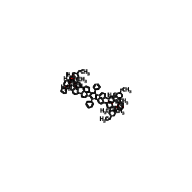 CCC1CCC2(C)N(c3ccccc3)c3ccc(-c4ccc5c6c(-c7ccccc7)c7c8ccc(-c9ccc%10c(c9)C9(C)CC(CC)CCC9(C)N%10c9ccccc9)c9c(-c%10ccc%11c(c%10)C%10(C)CC(CC)CCC%10(C)N%11c%10ccccc%10)ccc(c7c(-c7ccccc7)c6c6ccc(-c7ccc%10c(c7)C7(C)CC(CC)CCC7(C)N%10c7ccccc7)c4c56)c98)cc3C2(C)C1